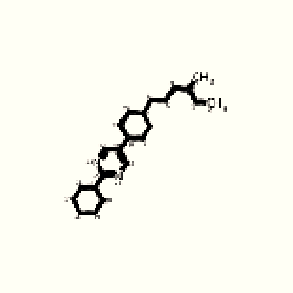 CCC(C)CCCC1CCC(c2cnc(C3CCCCC3)nc2)CC1